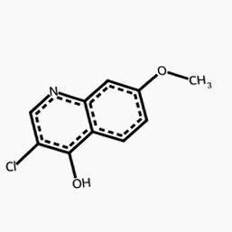 COc1ccc2c(O)c(Cl)cnc2c1